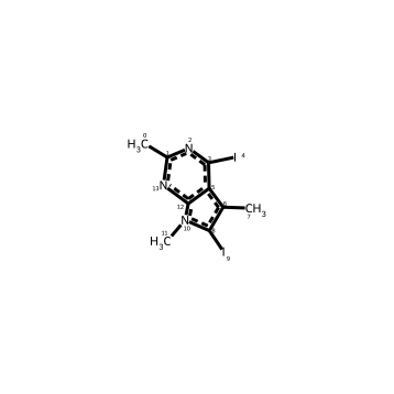 Cc1nc(I)c2c(C)c(I)n(C)c2n1